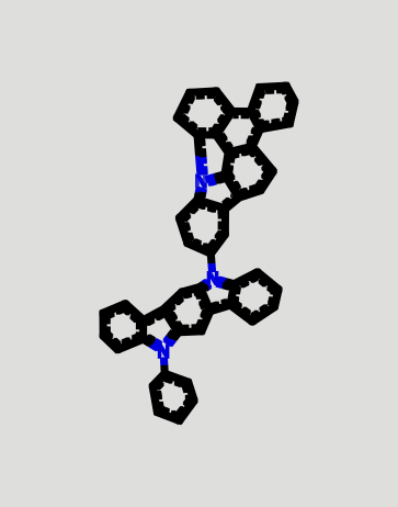 c1ccc(-n2c3ccccc3c3cc4c(cc32)c2ccccc2n4-c2ccc3c(c2)c2ccc4c5ccccc5c5cccc6c5c4c2n36)cc1